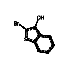 Oc1c(Br)sc2ccccc12